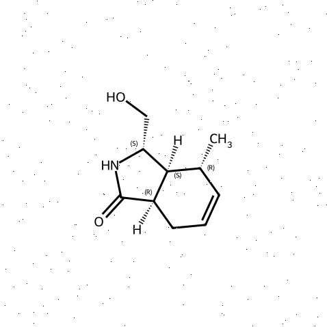 C[C@@H]1C=CC[C@H]2C(=O)N[C@H](CO)[C@@H]12